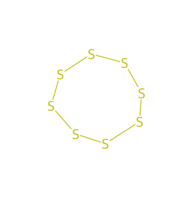 S1SSSSSSS1